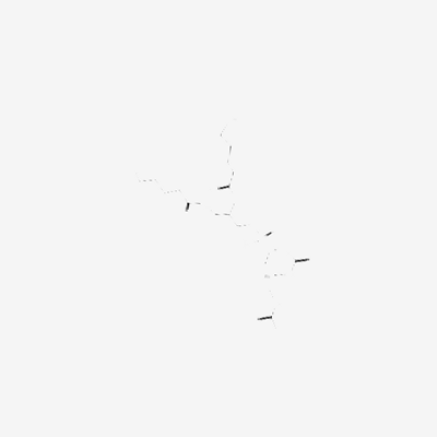 CC(=O)OC[C@H](COP(=O)(O)OCC(COC(=O)CCCCO)OC(=O)CCCCO)OC(=O)Br